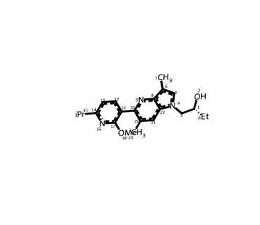 CC[C@@H](O)Cn1cc(C)c2nc(-c3ccc(C(C)C)nc3OC)c(C)cc21